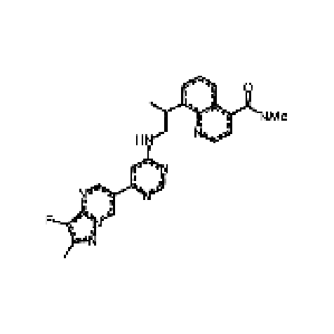 CNC(=O)c1ccnc2c(C(C)CNc3cc(-c4cnc5c(F)c(C)nn5c4)ncn3)cccc12